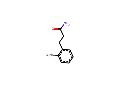 NC(=O)CCc1ccccc1[N+](=O)[O-]